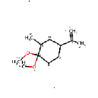 C=C(C)C1CCC(OC)(OC)C(C)C1